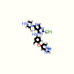 Cc1cc(Nc2ncnc3cnc(N4CCNC[C@@H]4C)cc23)ccc1Oc1ccn2ncnc2c1.Cl